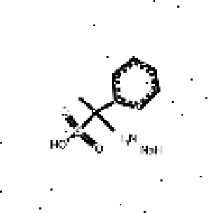 CC(C)(c1ccccc1)S(=O)(=O)O.N.[NaH]